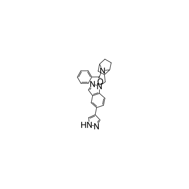 O=C(c1ccccc1)N1C2CCC1C(Cn1ncc3cc(-c4cn[nH]c4)ccc31)C2